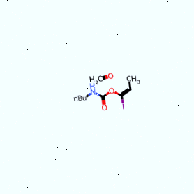 C/C=C(/I)OC(=O)NCCCC.C=O